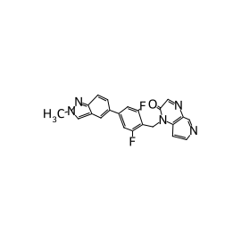 Cn1cc2cc(-c3cc(F)c(Cn4c(=O)cnc5cnccc54)c(F)c3)ccc2n1